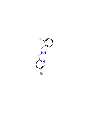 Fc1ccccc1CNCc1ccc(Br)cn1